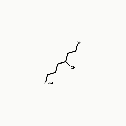 CCCCCCCCC(O)CCO